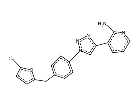 Nc1ncccc1-c1cn(-c2ccc(Cc3ccc(Cl)o3)cc2)nn1